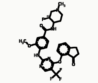 COc1cc(C(=O)NC2CCN(C)C[C@@H]2F)ccc1Nc1ncc(C(F)(F)F)c(Oc2cccc3c2C(=O)CC3)n1